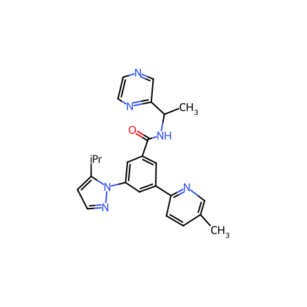 Cc1ccc(-c2cc(C(=O)NC(C)c3cnccn3)cc(-n3nccc3C(C)C)c2)nc1